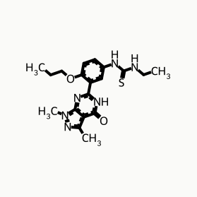 CCCOc1ccc(NC(=S)NCC)cc1-c1nc2c(c(C)nn2C)c(=O)[nH]1